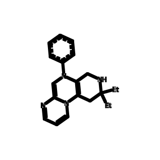 CCC1(CC)CC2=C(CN1)N(c1ccccc1)C=C1N=CC=CN12